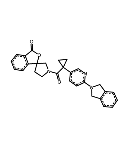 O=C1OC2(CCN(C(=O)C3(c4ccc(N5Cc6ccccc6C5)nc4)CC3)C2)c2ccccc21